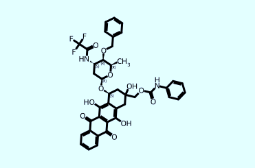 C[C@H]1O[C@@H](O[C@H]2CC(O)(COC(=O)Nc3ccccc3)Cc3c(O)c4c(c(O)c32)C(=O)c2ccccc2C4=O)C[C@H](NC(=O)C(F)(F)F)[C@H]1OCc1ccccc1